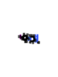 CNC1CCN(c2ccc(I)cc2)CC1